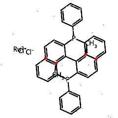 Cc1cccc(P(c2ccccc2)c2ccccc2)c1-c1c(C)cccc1P(c1ccccc1)c1ccccc1.[Cl-].[Cl-].[Ru+2]